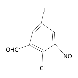 O=Cc1cc(I)cc(N=O)c1Cl